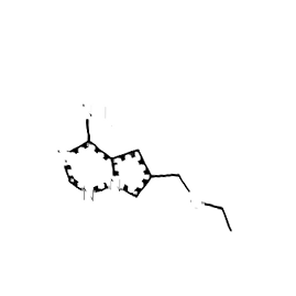 CCOCc1cc2c(N)ncnn2c1